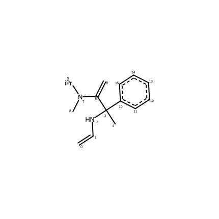 C=CNC(C)(C(=C)N(C)C(C)C)c1ccccc1